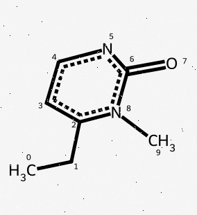 CCc1ccnc(=O)n1C